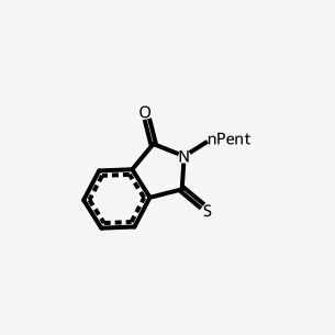 CCCCCN1C(=O)c2ccccc2C1=S